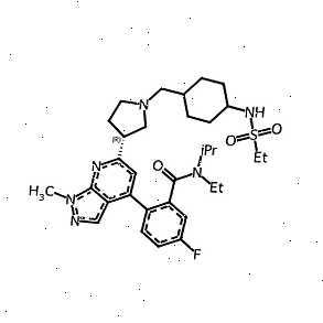 CCN(C(=O)c1cc(F)ccc1-c1cc([C@@H]2CCN(CC3CCC(NS(=O)(=O)CC)CC3)C2)nc2c1cnn2C)C(C)C